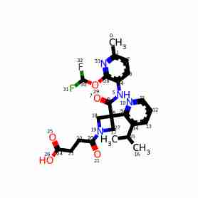 Cc1ccc(NC(=O)C2(c3ncccc3C(C)C)CN(C(=O)CCC(=O)O)C2)c(OC(F)F)n1